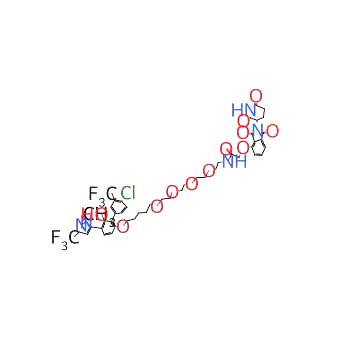 Cn1nc(C(F)(F)F)cc1-c1ccc(OCCCCCOCCOCCOCCOCCNC(=O)COc2cccc3c2C(=O)N(C2CCC(=O)NC2=O)C3=O)c(-c2ccc(Cl)c(C(F)(F)F)c2)c1O